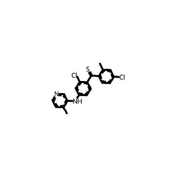 Cc1ccncc1Nc1ccc(C(=S)c2ccc(Cl)cc2C)c(Cl)c1